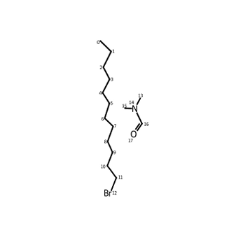 CCCCCCCCCCCCBr.CN(C)C=O